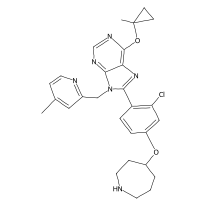 Cc1ccnc(Cn2c(-c3ccc(OC4CCCNCC4)cc3Cl)nc3c(OC4(C)CC4)ncnc32)c1